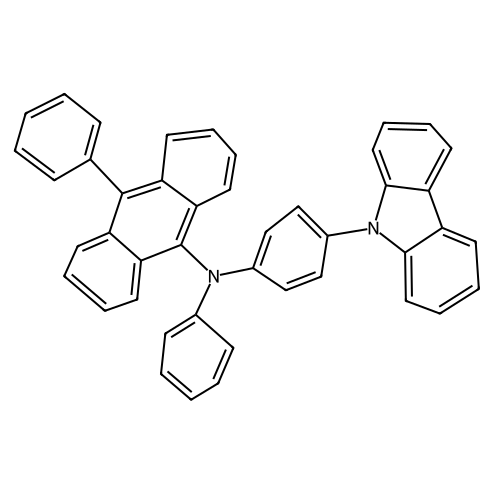 c1ccc(-c2c3ccccc3c(N(c3ccccc3)c3ccc(-n4c5ccccc5c5ccccc54)cc3)c3ccccc23)cc1